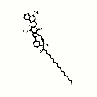 CC#CCn1c(N2CCCC(NC(=O)CCCCCCCCCCCCCCCCl)C2)nc2c1c(=O)n(Cc1nc(C)c3ccccc3n1)c(=O)n2C